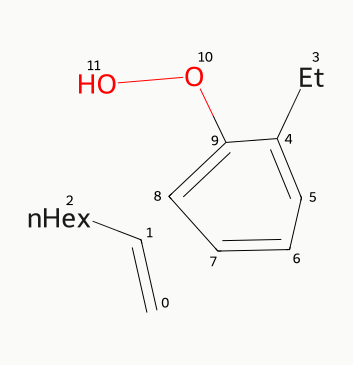 C=CCCCCCC.CCc1ccccc1OO